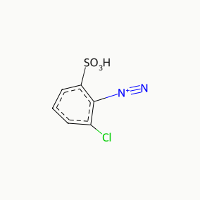 N#[N+]c1c(Cl)cccc1S(=O)(=O)O